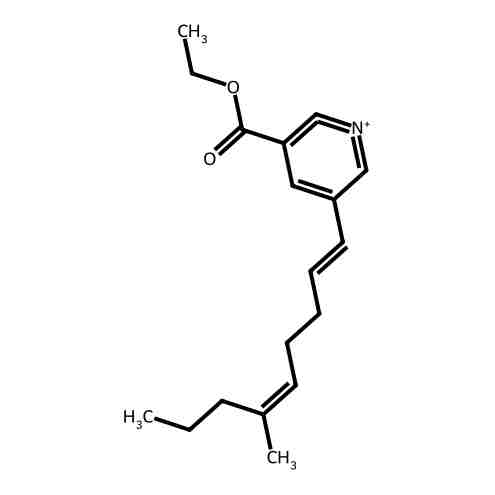 CCC/C(C)=C\CC/C=C/C1=CC(C(=O)OCC)=C=[N+]=C1